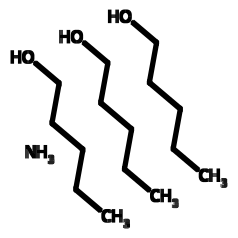 CCCCCO.CCCCCO.CCCCCO.N